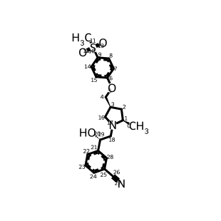 C[C@@H]1C[C@H](COc2ccc(S(C)(=O)=O)cc2)CN1C[C@@H](O)c1cccc(C#N)c1